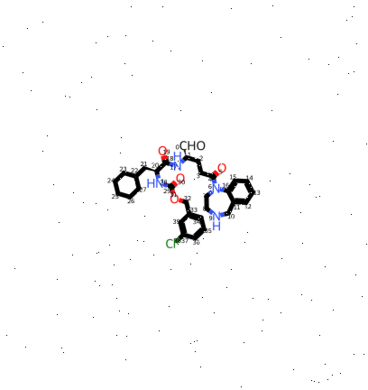 O=C[C@H](CCC(=O)N1CCNCc2ccccc21)NC(=O)[C@H](CC1CCCCC1)NC(=O)OCc1cccc(Cl)c1